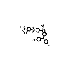 O=C(O)c1ccc(S(=O)(=O)N2CCC(c3c4cc(C(c5ccc(Cl)cc5)c5ccc(Cl)cc5)ccc4nn3C3CC3)CC2)cc1Cl